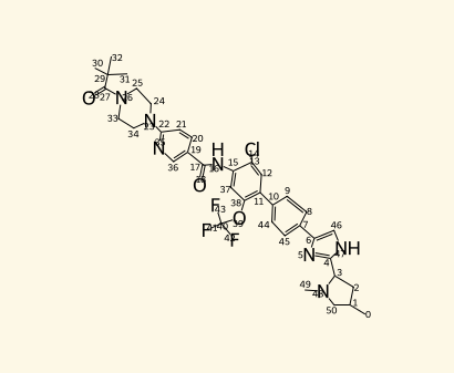 CC1CC(c2nc(-c3ccc(-c4cc(Cl)c(NC(=O)c5ccc(N6CCN(C(=O)C(C)(C)C)CC6)nc5)cc4OC(F)(F)F)cc3)c[nH]2)N(C)C1